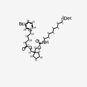 CCCCCCCCCCCCCCCCCCNC(=O)OCC1(COC(=O)CCCC[n+]2ccccc2)CCCC1.[Br-]